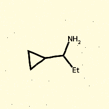 [CH2]CC(N)C1CC1